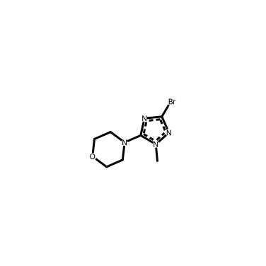 Cn1nc(Br)nc1N1CCOCC1